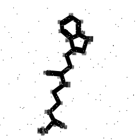 NC(=O)OCCNC(=O)CCc1c[nH]c2ccccc12